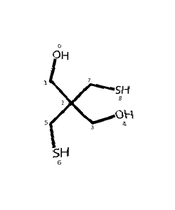 OCC(CO)(CS)CS